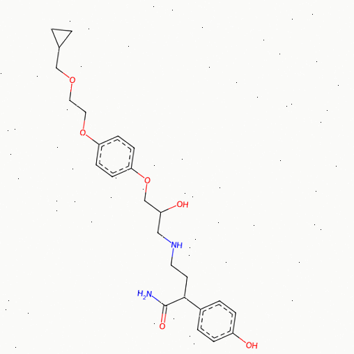 NC(=O)C(CCNCC(O)COc1ccc(OCCOCC2CC2)cc1)c1ccc(O)cc1